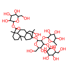 CC1(C(=O)OC2OC(CO)C(O)C(O)C2O)CCCC2(C)C3CCC4(OC5OC(CO)C(O)C(OC6OC(CO)C(O)C(O)C6O)C5OC5OC(CO)C(O)C(O)C5O)CC3(CCC12)CC4(C)O